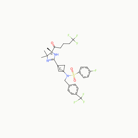 CC1(C)N=C(C23CC(N(Cc4ccc(C(F)(F)F)cc4)S(=O)(=O)c4ccc(F)cc4)(C2)C3)N[C@@]1(C)C(=O)CCCC(F)(F)F